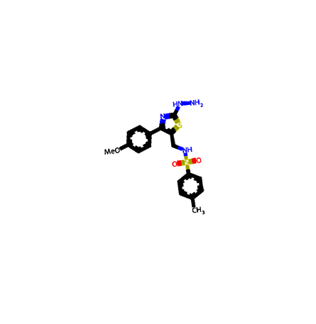 COc1ccc(-c2nc(NN)sc2CNS(=O)(=O)c2ccc(C)cc2)cc1